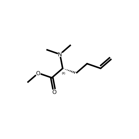 C=CCC[C@H](C(=O)OC)N(C)C